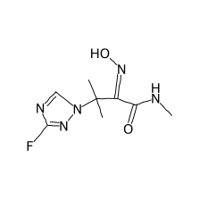 CNC(=O)/C(=N/O)C(C)(C)n1cnc(F)n1